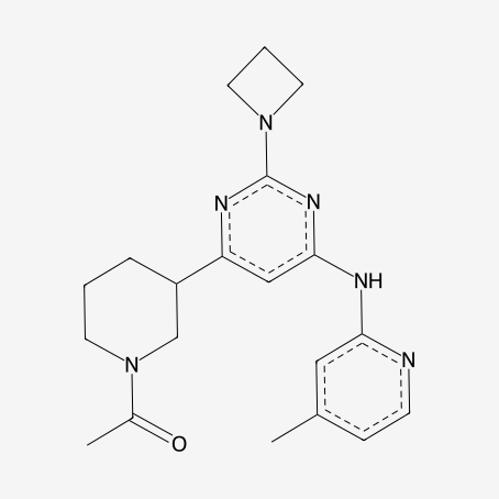 CC(=O)N1CCCC(c2cc(Nc3cc(C)ccn3)nc(N3CCC3)n2)C1